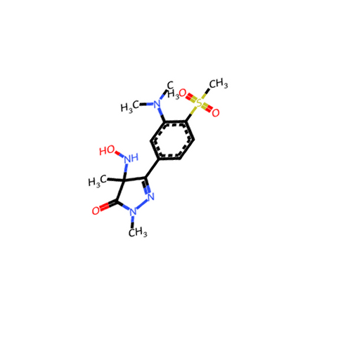 CN1N=C(c2ccc(S(C)(=O)=O)c(N(C)C)c2)C(C)(NO)C1=O